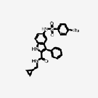 CC(C)(C)c1ccc(S(=O)(=O)Nc2ccc3[nH]c(C(=O)NCC4CC4)c(-c4ccccc4)c3c2)cc1